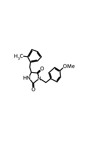 COc1ccc(CN2C(=O)NC(Cc3ccccc3C)C2=O)cc1